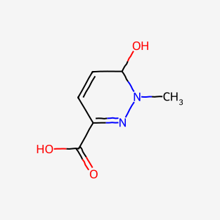 CN1N=C(C(=O)O)C=CC1O